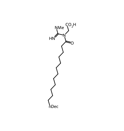 CCCCCCCCCCCCCCCCCCCCCC(=O)N(CC(=O)O)C(=N)NC